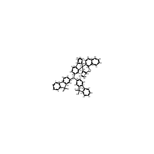 CC1(C)c2ccccc2-c2ccc(N(c3ccc4c(c3)C(C)(C)c3ccccc3-4)c3ccc4c(c3)C3(c5ccccc5Oc5c3ccc3ccccc53)c3ccccc3-4)cc21